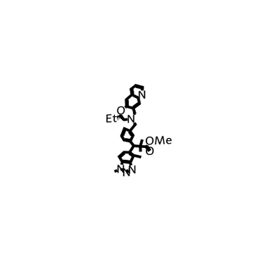 CC[C@@H]1CN(Cc2cccc(C(c3ccc4c(nnn4C)c3C)C(C)(C)C(=O)OC)c2)Cc2cc3ncccc3cc2O1